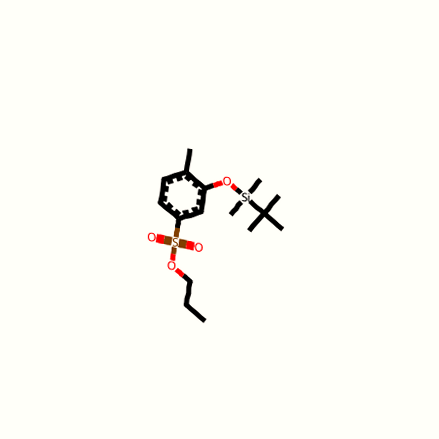 CCCOS(=O)(=O)c1ccc(C)c(O[Si](C)(C)C(C)(C)C)c1